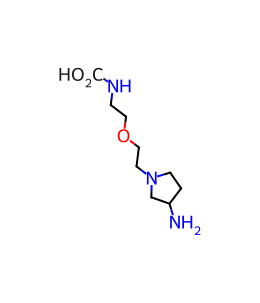 NC1CCN(CCOCCNC(=O)O)C1